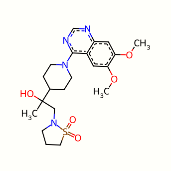 COc1cc2ncnc(N3CCC(C(C)(O)CN4CCCS4(=O)=O)CC3)c2cc1OC